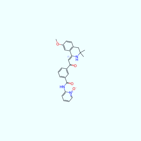 COc1ccc2c(c1)/C(=C/C(=O)c1cccc(C(=O)Nc3cccc[n+]3[O-])c1)NC(C)(C)C2